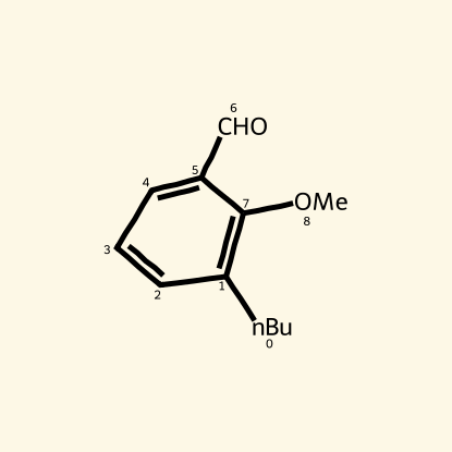 CCCCc1cccc(C=O)c1OC